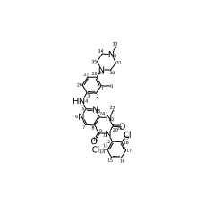 Cc1cc(Nc2ncc3c(=O)n(-c4c(Cl)cccc4Cl)c(=O)n(C)c3n2)ccc1N1CCN(C)CC1